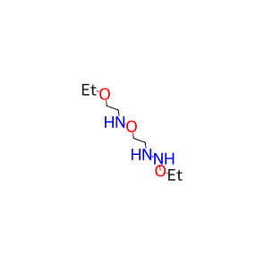 CCOCCNOCCNNOCC